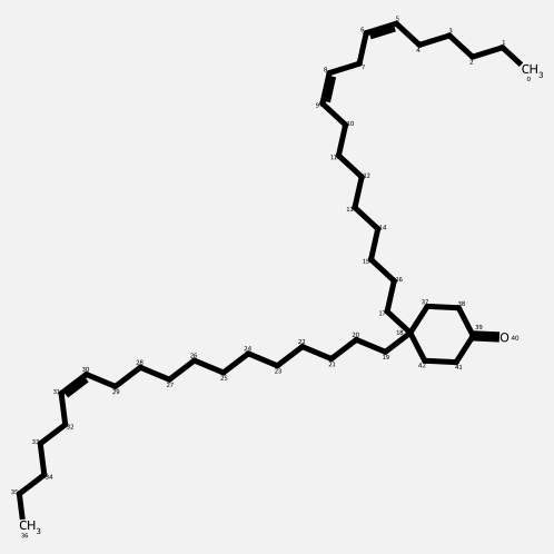 CCCCC/C=C\C/C=C\CCCCCCCCC1(CCCCCCCCCCC/C=C\CCCCC)CCC(=O)CC1